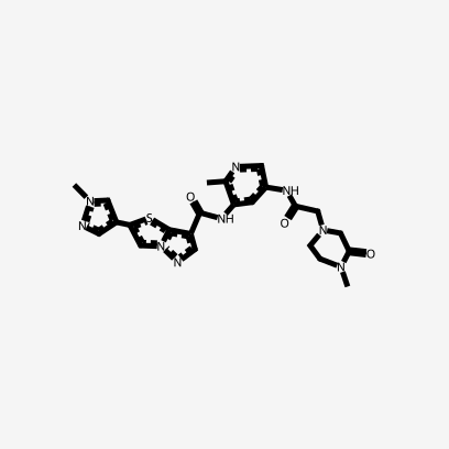 Cc1ncc(NC(=O)CN2CCN(C)C(=O)C2)cc1NC(=O)c1cnn2cc(-c3cnn(C)c3)sc12